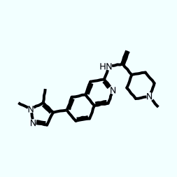 C=C(Nc1cc2cc(-c3cnn(C)c3C)ccc2cn1)C1CCN(C)CC1